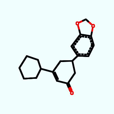 O=C1C=C(C2CCCCC2)CC(c2ccc3c(c2)OCO3)C1